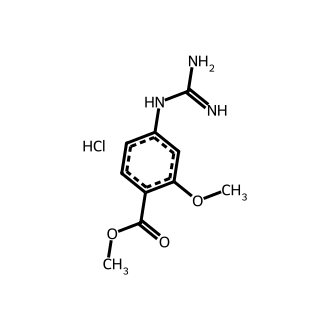 COC(=O)c1ccc(NC(=N)N)cc1OC.Cl